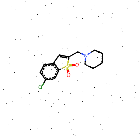 O=S1(=O)C(CN2CCCCC2)=Cc2ccc(Cl)cc21